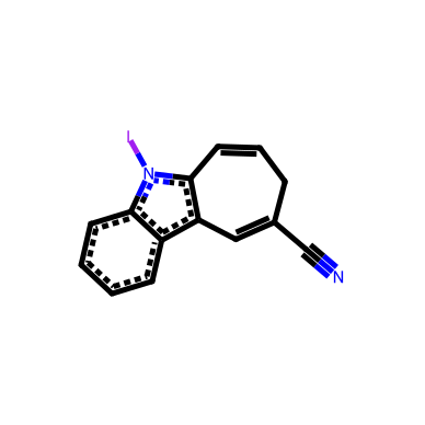 N#CC1=Cc2c(n(I)c3ccccc23)C=CC1